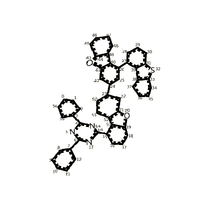 c1ccc(-c2nc(-c3ccccc3)nc(-c3cccc4oc5cc(-c6cc(-c7cccc8sc9ccccc9c78)c7c(c6)oc6ccccc67)ccc5c34)n2)cc1